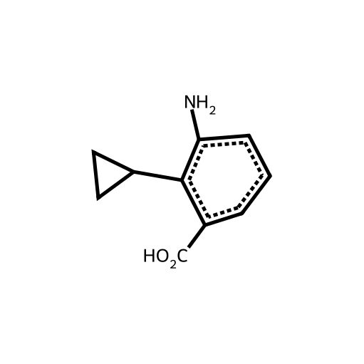 Nc1cccc(C(=O)O)c1C1CC1